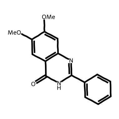 COc1cc2nc(-c3ccccc3)[nH]c(=O)c2cc1OC